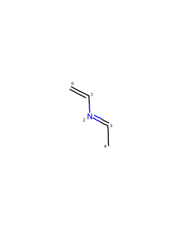 C=CN=CC